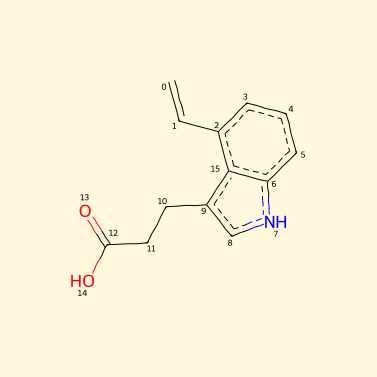 C=Cc1cccc2[nH]cc(CCC(=O)O)c12